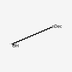 [CH2]C(O)CCCCCCCCCCCCCCCCCCCCCCCCCCCCCCCCCCCCCC